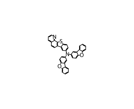 c1cnc2c(c1)ccc1c3cc(N(c4ccc5oc6ccccc6c5c4)c4ccc5oc6ccccc6c5c4)ccc3sc12